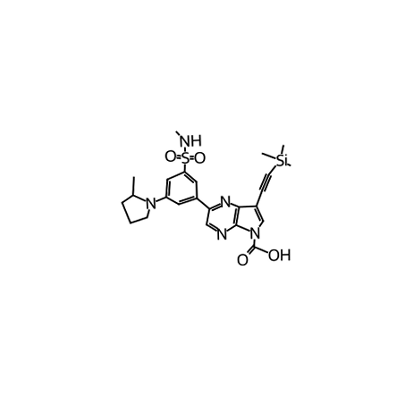 CNS(=O)(=O)c1cc(-c2cnc3c(n2)c(C#C[Si](C)(C)C)cn3C(=O)O)cc(N2CCCC2C)c1